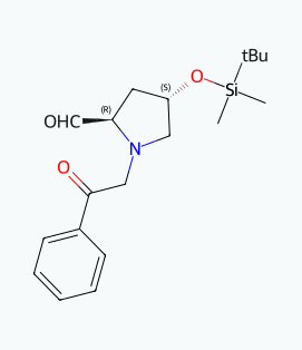 CC(C)(C)[Si](C)(C)O[C@H]1C[C@H](C=O)N(CC(=O)c2ccccc2)C1